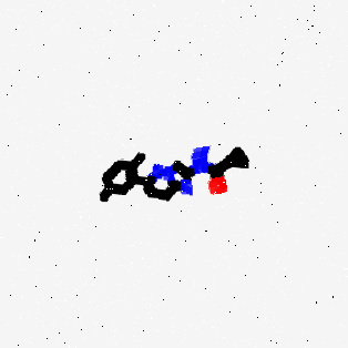 Cc1ccc(C)c(-c2ccc3nc(NC(=O)C4CC4)cn3n2)c1